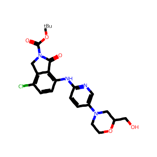 CC(C)(C)OC(=O)N1Cc2c(Cl)ccc(Nc3ccc(N4CCOC(CO)C4)cn3)c2C1=O